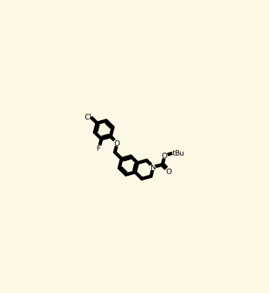 CC(C)(C)OC(=O)N1CCc2ccc(COc3ccc(Cl)cc3F)cc2C1